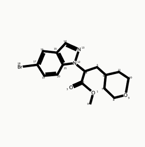 COC(=O)C(CC1CCOCC1)n1ncc2cc(Br)ccc21